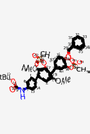 COc1cc(-c2ccc(NC(=O)OC(C)(C)C)cc2)c(OC)c(OS(C)(=O)=O)c1-c1ccc(OCc2ccccc2)c(OS(C)(=O)=O)c1